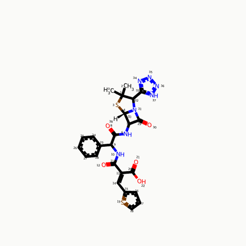 CC1(C)S[C@H]2C(NC(=O)C(NC(=O)C(=Cc3cccs3)C(=O)O)c3ccccc3)C(=O)N2C1c1nnn[nH]1